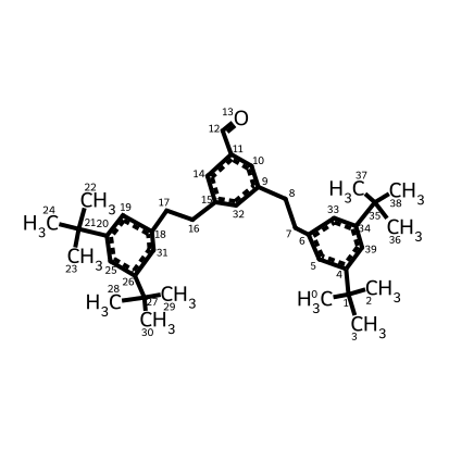 CC(C)(C)c1cc(CCc2cc(C=O)cc(CCc3cc(C(C)(C)C)cc(C(C)(C)C)c3)c2)cc(C(C)(C)C)c1